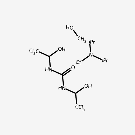 CCN(C(C)C)C(C)C.CO.O=C(NC(O)C(Cl)(Cl)Cl)NC(O)C(Cl)(Cl)Cl